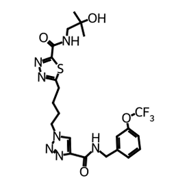 CC(C)(O)CNC(=O)c1nnc(CCCCn2cc(C(=O)NCc3cccc(OC(F)(F)F)c3)nn2)s1